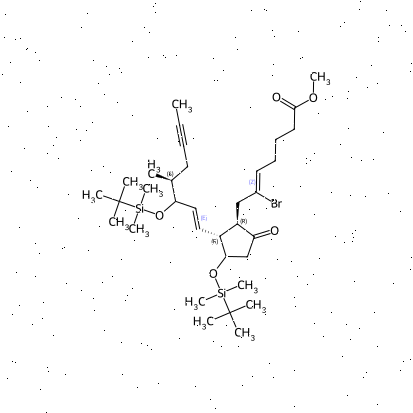 CC#CC[C@H](C)C(/C=C/[C@H]1C(O[Si](C)(C)C(C)(C)C)CC(=O)[C@@H]1C/C(Br)=C/CCCC(=O)OC)O[Si](C)(C)C(C)(C)C